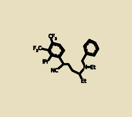 CCC(CCC(C#N)c1ccc(C(F)(F)F)c(C(F)(F)F)c1C(C)C)N(CC)Cc1ccccc1